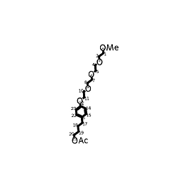 COCCOCCOCCOCCOc1ccc(CCCCOC(C)=O)cc1